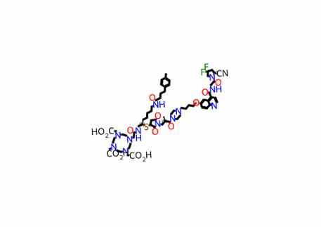 Cc1ccc(CCCC(=O)NCCCCC[C@H](CNC(=O)CN2CCN(CC(=O)O)CCN(CC(=O)O)CCN(CC(=O)O)CC2)SC2CC(=O)N(C[C@@H](C)C(=O)N3CCN(CCCCOc4ccc5nccc(C(=O)NCC(=O)N6CC(F)(F)C[C@@H]6C#N)c5c4)CC3)C2=O)cc1